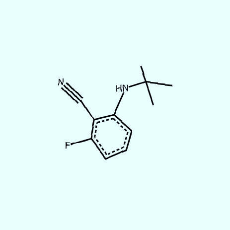 CC(C)(C)Nc1cccc(F)c1C#N